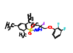 Cc1cc(C)c(S(=O)(=O)NC(I)(COc2cccc(F)c2F)C(F)(F)F)c(C)c1